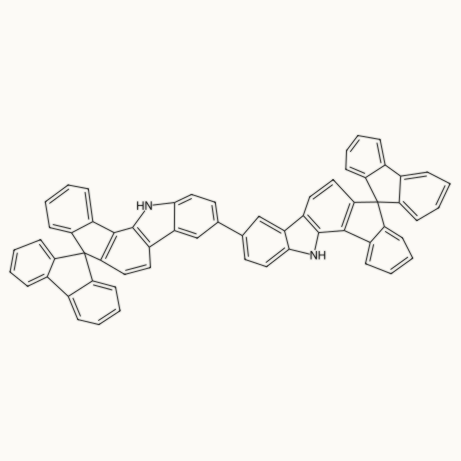 c1ccc2c(c1)-c1ccccc1C21c2ccccc2-c2c1ccc1c2[nH]c2ccc(-c3ccc4[nH]c5c6c(ccc5c4c3)C3(c4ccccc4-c4ccccc43)c3ccccc3-6)cc21